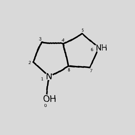 ON1CCC2CNCC21